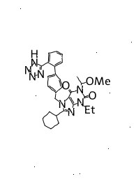 CCn1c(=O)n(C(C)OC)c(=O)c2c1nc(C1CCCCC1)n2Cc1ccc(-c2ccccc2-c2nnn[nH]2)cc1